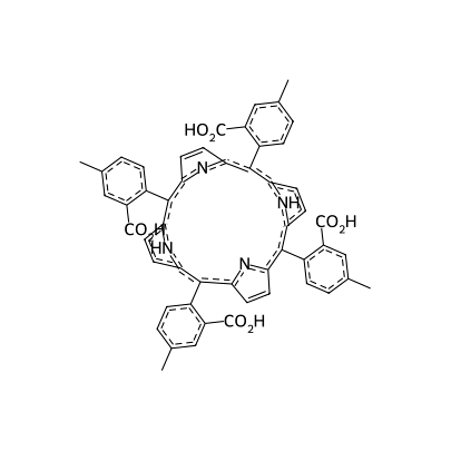 Cc1ccc(-c2c3nc(c(-c4ccc(C)cc4C(=O)O)c4ccc([nH]4)c(-c4ccc(C)cc4C(=O)O)c4nc(c(-c5ccc(C)cc5C(=O)O)c5ccc2[nH]5)C=C4)C=C3)c(C(=O)O)c1